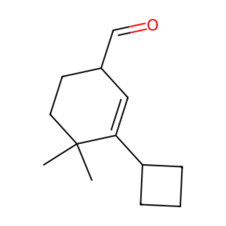 CC1(C)CCC(C=O)C=C1C1CCC1